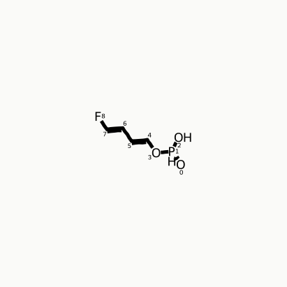 O=[PH](O)OC=CC=CF